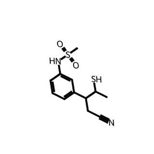 CC(S)C(CC#N)c1cccc(NS(C)(=O)=O)c1